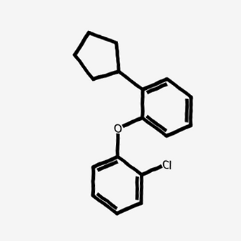 Clc1ccccc1Oc1ccccc1C1CCCC1